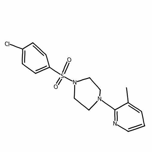 Cc1cccnc1N1CCN(S(=O)(=O)c2ccc(Cl)cc2)CC1